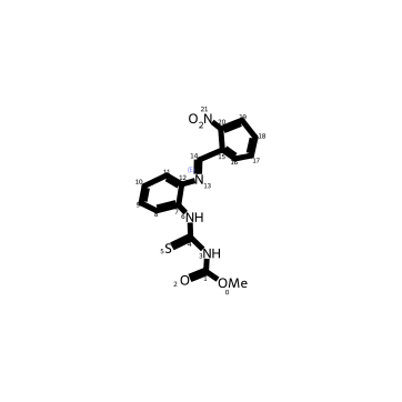 COC(=O)NC(=S)Nc1ccccc1/N=C/c1ccccc1[N+](=O)[O-]